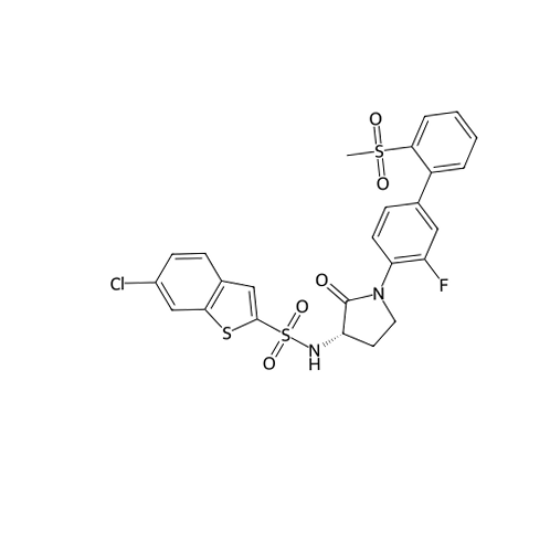 CS(=O)(=O)c1ccccc1-c1ccc(N2CC[C@H](NS(=O)(=O)c3cc4ccc(Cl)cc4s3)C2=O)c(F)c1